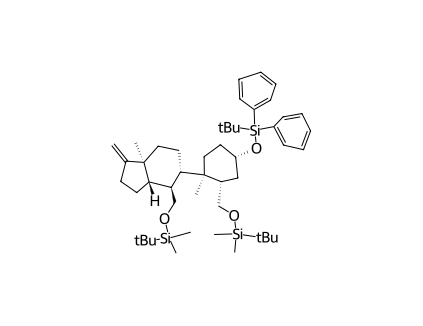 C=C1CC[C@H]2[C@H](CO[Si](C)(C)C(C)(C)C)[C@@H]([C@@]3(C)CC[C@H](O[Si](c4ccccc4)(c4ccccc4)C(C)(C)C)C[C@@H]3CO[Si](C)(C)C(C)(C)C)CC[C@]12C